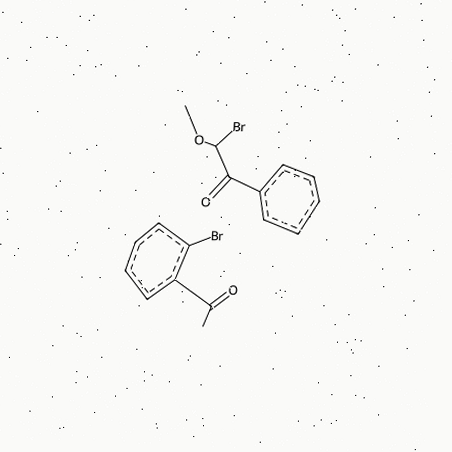 CC(=O)c1ccccc1Br.COC(Br)C(=O)c1ccccc1